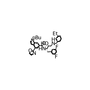 CCCCn1ccc2c(-c3ncco3)cc(C(=O)N[C@@H](Cc3cc(F)cc(F)c3)[C@H](O)CNCc3cccc(CC)c3)cc21